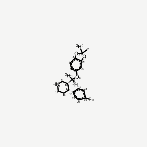 [2H]C1(C)Oc2ccc(OC([2H])([2H])[C@@H]3CNCC[C@H]3c3ccc(F)cc3)cc2O1